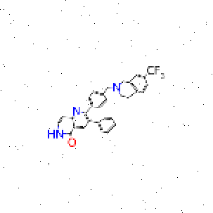 O=c1[nH]ccc2nc(-c3ccc(CN4CCc5ccc(C(F)(F)F)cc5C4)cc3)c(-c3ccccc3)cc12